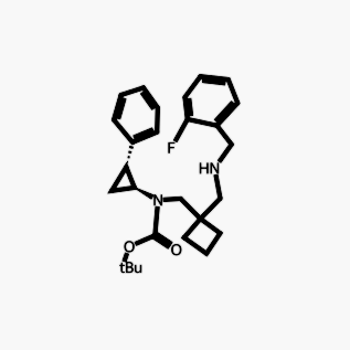 CC(C)(C)OC(=O)N(CC1(CNCc2ccccc2F)CCC1)[C@H]1C[C@@H]1c1ccccc1